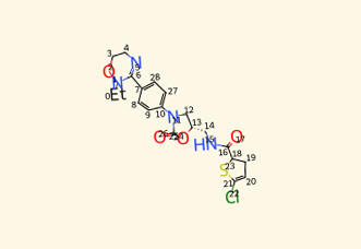 CCN1OCCN=C1c1ccc(N2C[C@H](CNC(=O)C3CC=C(Cl)S3)OC2=O)cc1